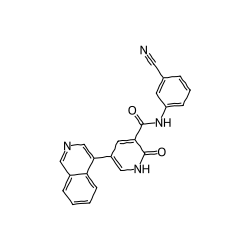 N#Cc1cccc(NC(=O)c2cc(-c3cncc4ccccc34)c[nH]c2=O)c1